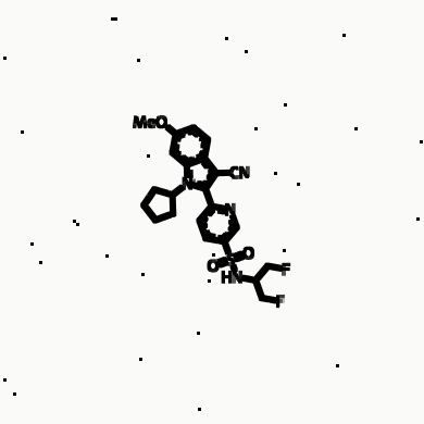 COc1ccc2c(C#N)c(-c3ccc(S(=O)(=O)NC(CF)CF)cn3)n(C3CCCC3)c2c1